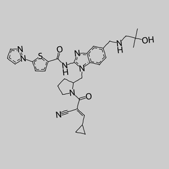 CC(C)(O)CNCc1ccc2c(c1)nc(NC(=O)c1ccc(-n3cccn3)s1)n2CC1CCCN1C(=O)C(C#N)=CC1CC1